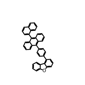 c1ccc2c(-c3c4ccccc4c(-c4ccc(-c5cccc6oc7ccccc7c56)cc4)c4ccccc34)cccc2c1